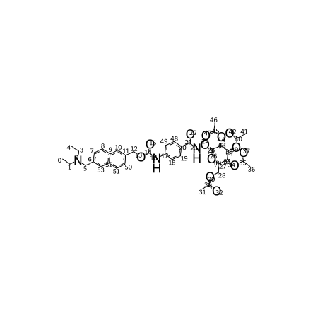 CCN(CC)Cc1ccc2cc(COC(=O)Nc3ccc(C(=O)NO[C@@H]4O[C@H](COC(C)=O)[C@H](OC(C)=O)[C@H](OC(C)=O)[C@H]4OC(C)=O)cc3)ccc2c1